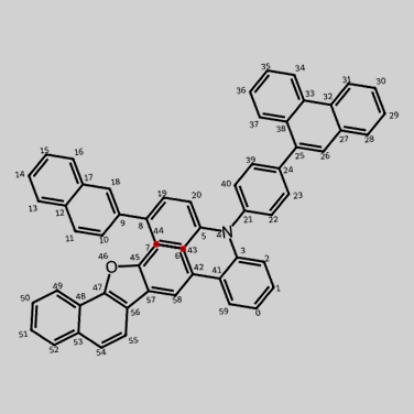 c1ccc(N(c2ccc(-c3ccc4ccccc4c3)cc2)c2ccc(-c3cc4ccccc4c4ccccc34)cc2)c(-c2ccc3oc4c5ccccc5ccc4c3c2)c1